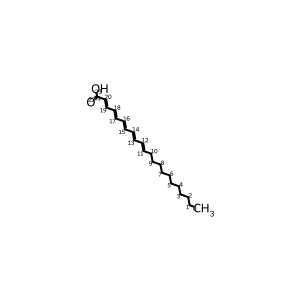 CCCCCCCCCCC/C=C/C=C/C=C/C=C/C=C/C(=O)O